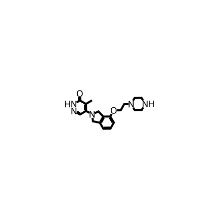 Cc1c(N2Cc3cccc(OCCN4CCNCC4)c3C2)cn[nH]c1=O